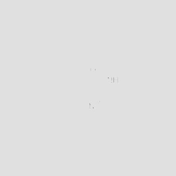 Cc1cc(C)c2c(C(N)=O)snc2c1